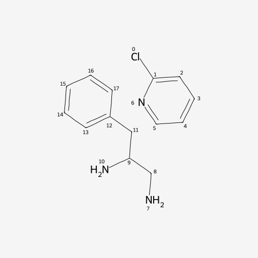 Clc1ccccn1.NCC(N)Cc1ccccc1